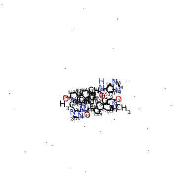 CN1C(=O)C=C[C@]2(C)C3CC[C@@]4(C)C(CC[C@@H]4CC(=O)Nc4cnccn4)C3CC[C@@H]12.CN1C(=O)C=C[C@]2(C)[C@H]3CC[C@]4(C)[C@@H](CC(=O)Nc5ccc6nccnc6c5)CC[C@H]4[C@@H]3CC[C@@H]12